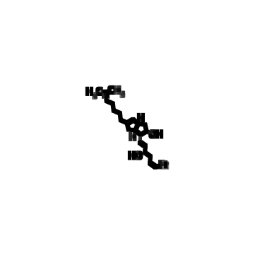 CC/C=C\C[C@H](O)/C=C/[C@@H]1[C@H]2CC(CCCCCN(C)C)=C[C@H]2C[C@H]1O